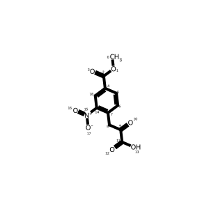 COC(=O)c1ccc(CC(=O)C(=O)O)c([N+](=O)[O-])c1